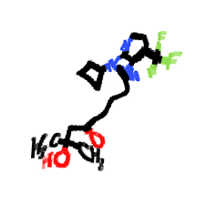 CC(C)(O)CC(=O)CCCCc1nc2c(C(F)(F)F)ccnc2n1C1CCC1